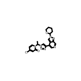 CC(n1cc(-c2cncc3nn(C4CCCCO4)cc23)nn1)n1ccc(Cl)cc1=O